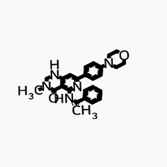 C[C@H](Nc1nc(-c2ccc(N3CCOCC3)cc2)cc2c1C(=O)N(C)CN2)c1ccccc1